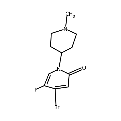 CN1CCC(n2cc(I)c(Br)cc2=O)CC1